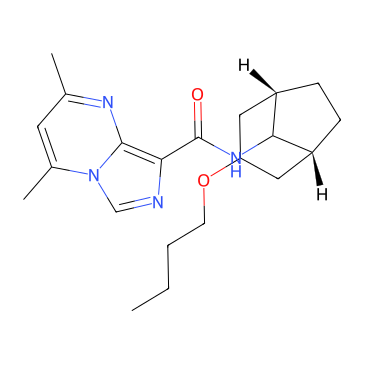 CCCCOC1C[C@H]2CC[C@@H](C1)C2NC(=O)c1ncn2c(C)cc(C)nc12